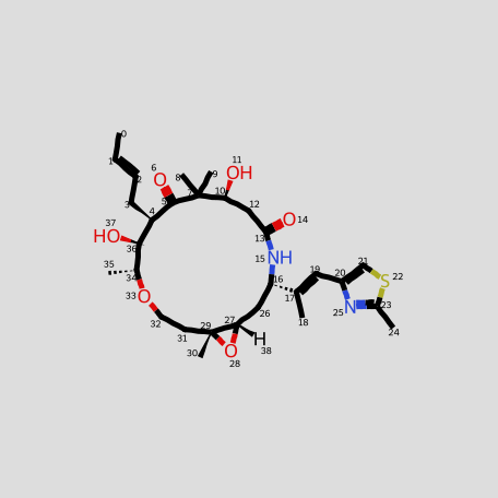 CC=CC[C@H]1C(=O)C(C)(C)[C@@H](O)CC(=O)N[C@H](C(C)=Cc2csc(C)n2)C[C@@H]2O[C@]2(C)CCO[C@H](C)[C@H]1O